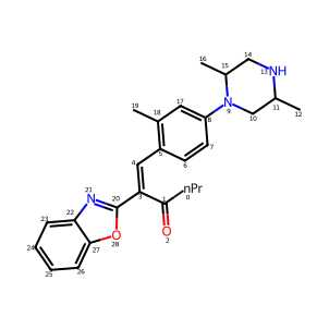 CCCC(=O)/C(=C\c1ccc(N2CC(C)NCC2C)cc1C)c1nc2ccccc2o1